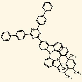 CC1C=CC2(C)C3=C1C(C)C=C1c4cccc(-n5c6ccccc6c6cc(-c7nc(-c8ccc(-c9ccccc9)cc8)nc(-c8ccc(-c9ccccc9)cc8)n7)ccc65)c4N(c4ccccc42)C13C